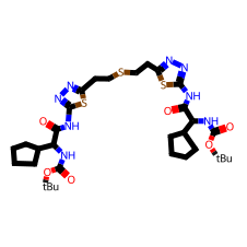 CC(C)(C)OC(=O)NC(C(=O)Nc1nnc(CCSCCc2nnc(NC(=O)C(NC(=O)OC(C)(C)C)C3CCCC3)s2)s1)C1CCCC1